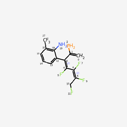 C=C(P)/C(=C(F)\C(F)=C(\F)CF)c1cccc(C(F)(F)F)c1N